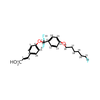 O=C(O)/C=C/c1ccc(OC(F)(F)c2ccc(OCCCCCCF)cc2)cc1